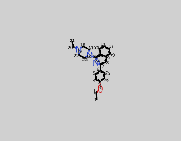 CCOc1ccc(-c2cc3ccccc3c(N3CCN(CC)CC3)n2)cc1